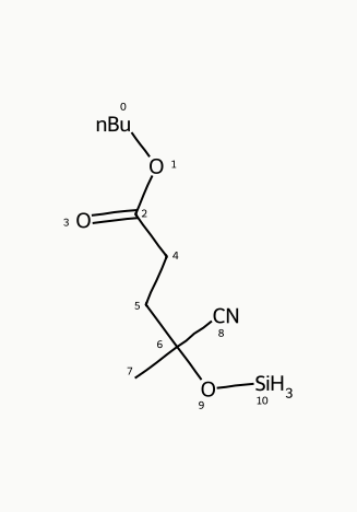 CCCCOC(=O)CCC(C)(C#N)O[SiH3]